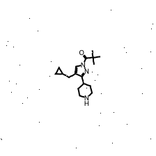 CC(C)(C)C(=O)n1cc(CC2CC2)c(C2CCNCC2)n1